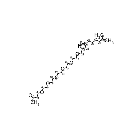 CC(=O)CCOCCOCCOCCOCCOCCOCc1cn(CCCCC(C)C)nn1